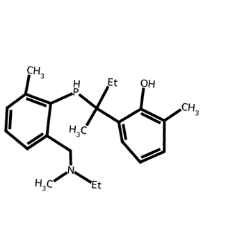 CCN(C)Cc1cccc(C)c1PC(C)(CC)c1cccc(C)c1O